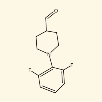 O=CC1CCN(c2c(F)cccc2F)CC1